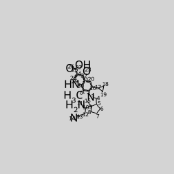 Cc1c(N2CC3CCCC3(C(N)CC#N)C2)c(C2CC2)cc2c(=O)c(C(=O)O)c[nH]c12